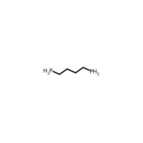 PCCCCP